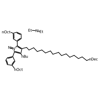 CCCCCCCCCCCCCCCCCCCCCCCCCCC1=C(c2cccc(CCCCCCCC)c2)[N+](=[N-])C(c2cccc(CCCCCCCC)c2)=C1CCCC.C[CH2][Ni][CH2]C